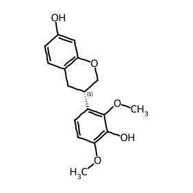 COc1ccc([C@H]2COc3cc(O)ccc3C2)c(OC)c1O